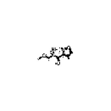 COCN(N)C(=O)c1ccon1